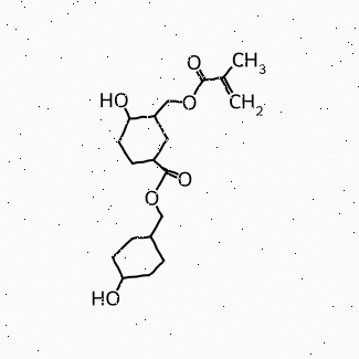 C=C(C)C(=O)OCC1CC(C(=O)OCC2CCC(O)CC2)CCC1O